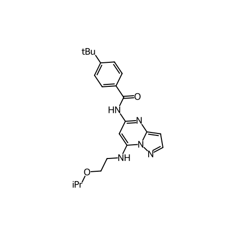 CC(C)OCCNc1cc(NC(=O)c2ccc(C(C)(C)C)cc2)nc2ccnn12